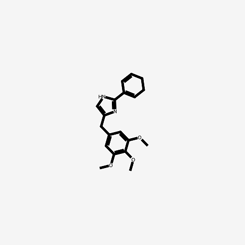 COc1cc(Cc2c[nH]c(C3=CCCC=C3)n2)cc(OC)c1OC